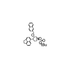 CC(C)(C)OC(=O)ON1CCC(c2ccc3c4c(cccc24)CC3)C(OCc2ccc3ccccc3c2)C1